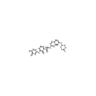 CN1CCC(Cc2cnc3ccc(CNC(=O)c4cncn(Cc5ccc(F)c(F)c5)c4=O)cc3n2)CC1